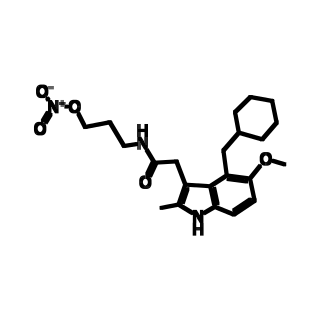 COc1ccc2[nH]c(C)c(CC(=O)NCCCO[N+](=O)[O-])c2c1CC1CCCCC1